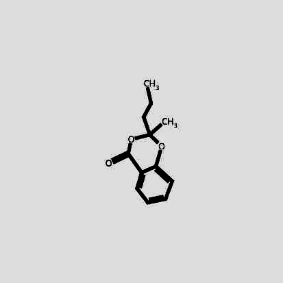 CCCC1(C)OC(=O)c2ccccc2O1